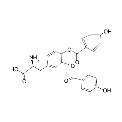 N[C@@H](Cc1ccc(OC(=O)c2ccc(O)cc2)c(OC(=O)c2ccc(O)cc2)c1)C(=O)O